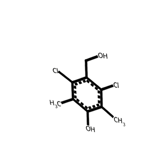 Cc1c(O)c(C)c(Cl)c(CO)c1Cl